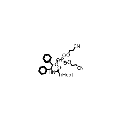 CCCCCCCC(=O)N[C@H](c1ccccc1)[C@@H](OOP(OOCCC#N)OOCCC#N)c1ccccc1